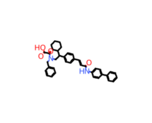 O=C(C=Cc1ccc(C(CN(Cc2ccccc2)C(=O)C(=O)O)C2CCCCC2)cc1)Nc1ccc(-c2ccccc2)cc1